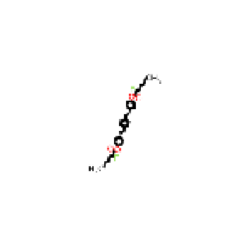 CCCCC[C@@H](F)C(=O)O[C@H]1CC[C@H](CCc2ccc(CC[C@H]3CC[C@H](OC(=O)[C@H](F)CCCCC)CC3)cc2)CC1